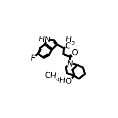 C.CC(CC(=O)N1CCC2(O)CCCC1C2)c1c[nH]c2cc(F)ccc12